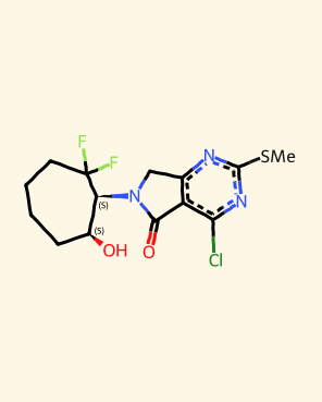 CSc1nc(Cl)c2c(n1)CN([C@H]1[C@@H](O)CCCCC1(F)F)C2=O